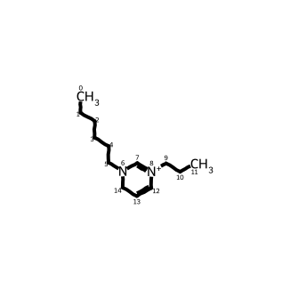 CCCCCCN1C=[N+](CCC)C=CC1